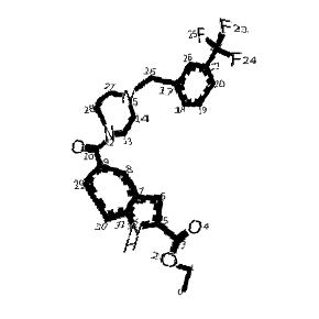 CCOC(=O)c1cc2cc(C(=O)N3CCN(Cc4cccc(C(F)(F)F)c4)CC3)ccc2[nH]1